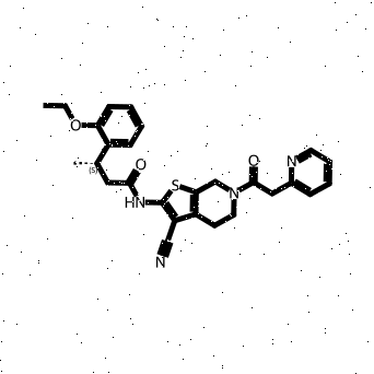 CCOc1ccccc1[C@@H](C)CC(=O)Nc1sc2c(c1C#N)CCN(C(=O)Cc1ccccn1)C2